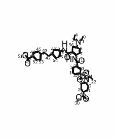 CCN(CC)c1ccc(NC(=O)c2cccc(S(=O)(=O)N(CC)[C@H]3CC[C@H](C(=O)OC)CC3)c2)c(C(=O)Nc2ccc(CCc3ccc(C(=O)OC)cc3)cc2)c1